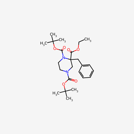 CCOC(=O)C1(Cc2ccccc2)CN(C(=O)OC(C)(C)C)CCN1C(=O)OC(C)(C)C